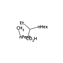 CCCCCC.CCCCCCC(CC)C(=O)O